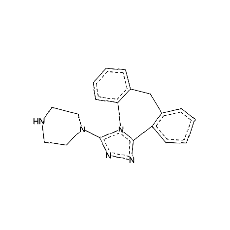 c1ccc2c(c1)Cc1ccccc1-n1c-2nnc1N1CCNCC1